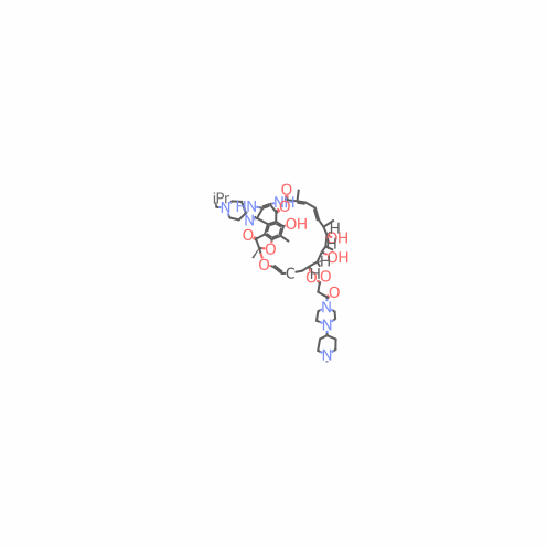 C/C1=C/C=C/C(C)[C@H](O)[C@@H](C)C(O)[C@@H](C)[C@H](OC(=O)CC(=O)N2CCN(C3CCN(C)CC3)CC2)CC/C=C/O[C@@]2(C)Oc3c(C)c(O)c4c(c3C2=O)C2=NC3(CCN(CC(C)C)CC3)NC2=C(NC1=O)C4=O